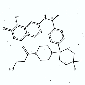 CC(C)n1c(=O)ccc2cnc(N[C@@H](C)c3ccc(C4(N5CCN(C(=O)CCO)CC5)CCC(F)(F)CC4)cc3)cc21